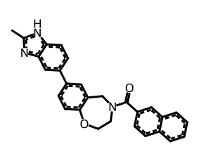 Cc1nc2cc(-c3ccc4c(c3)CN(C(=O)c3ccc5ccccc5c3)CCO4)ccc2[nH]1